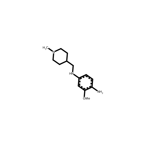 COc1cc(NCC2CCN(C)CC2)ccc1N